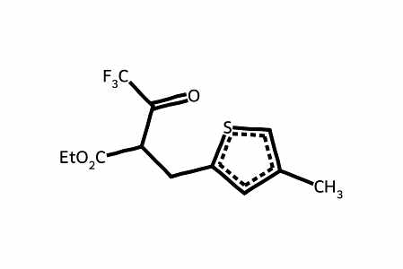 CCOC(=O)C(Cc1cc(C)cs1)C(=O)C(F)(F)F